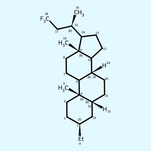 CC[C@H]1CC[C@]2(C)C3CC[C@@]4(C)C(CCC4[C@H](C)CC(F)(F)F)[C@@H]3CC[C@@H]2C1